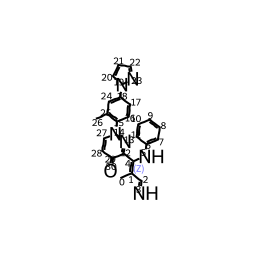 C/C(C=N)=C(/Nc1ccccc1)c1nn(-c2ccc(-n3cccn3)cc2C)ccc1=O